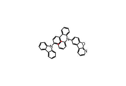 c1ccc(N(c2ccc3oc4ncccc4c3c2)c2ccccc2-c2ccc(-n3c4ccccc4c4ccccc43)cc2)cc1